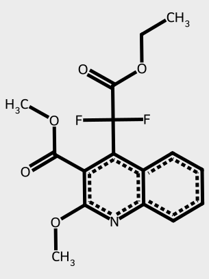 CCOC(=O)C(F)(F)c1c(C(=O)OC)c(OC)nc2ccccc12